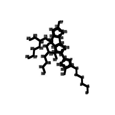 CCCCCCc1cc(-c2cc3c(s2)-c2sc(C)cc2[Si]3(CC(CC)CCCC)CC(CC)CCCC)sc1C